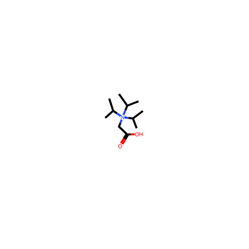 CC(C)[N+](CC(=O)O)(C(C)C)C(C)C